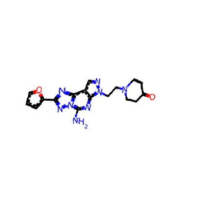 Nc1nc2c(cnn2CCN2CCC(=O)CC2)c2nc(-c3ccco3)nn12